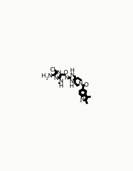 CNc1nc(N)c(Cl)nc1C(=O)/N=C1\NCC2(CCN(C(=O)c3ccc4c(c3)c(C)c(C)n4C)CC2)N1